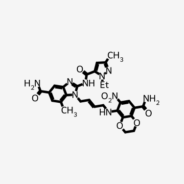 CCn1nc(C)cc1C(=O)Nc1nc2cc(C(N)=O)cc(C)c2n1CC=CCNc1c([N+](=O)[O-])cc(C(N)=O)c2c1OCCO2